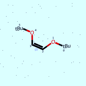 CC(C)(C)O/C=C\OC(C)(C)C